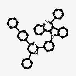 c1ccc(-c2ccc(-c3cc(-c4ccccc4)nc(-c4cccc(-n5c6ccccc6c6c(-c7ccccc7)nc7ccccc7c65)c4)n3)cc2)cc1